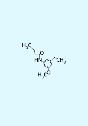 CCCCC(=O)Nc1cc(CC)cc(OC)c1